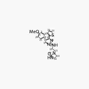 COc1ccc(-c2cnc(NCCN3CCNC3=O)nc2-c2cccs2)cc1